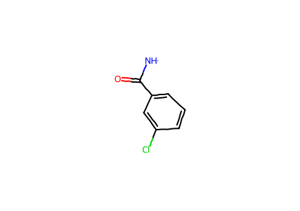 [NH]C(=O)c1cccc(Cl)c1